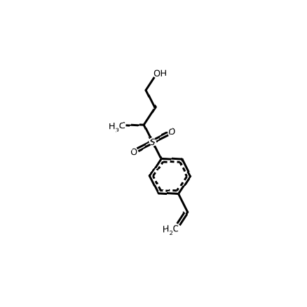 C=Cc1ccc(S(=O)(=O)C(C)CCO)cc1